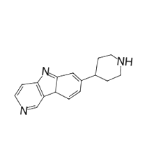 C1=CC2C(=Nc3ccncc32)C=C1C1CCNCC1